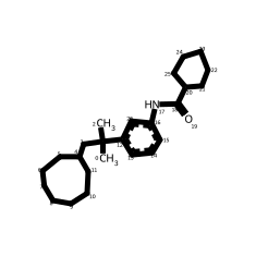 CC(C)(CC1CCCCCCC1)c1cccc(NC(=O)C2CCCCC2)c1